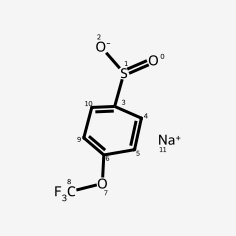 O=S([O-])c1ccc(OC(F)(F)F)cc1.[Na+]